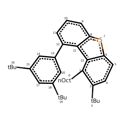 CCCCCCCCc1c(C(C)(C)C)ccc2sc3cccc(-c4cc(C(C)(C)C)cc(C(C)(C)C)c4)c3c12